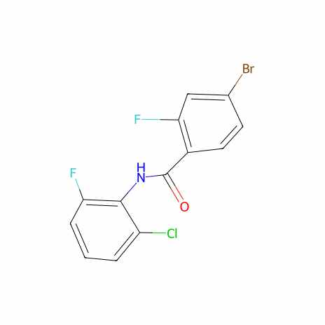 O=C(Nc1c(F)cccc1Cl)c1ccc(Br)cc1F